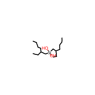 CCCCC(CC)C[Si](O)(O)CC(CC)CCCC